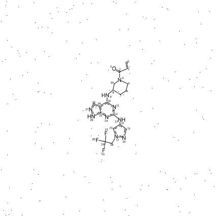 C=CC(=O)N1CCCC(Nc2nc(Nc3cnn(CC(F)(F)F)c3)nc3[nH]ncc23)C1